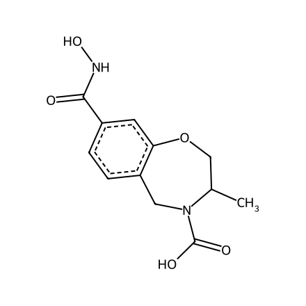 CC1COc2cc(C(=O)NO)ccc2CN1C(=O)O